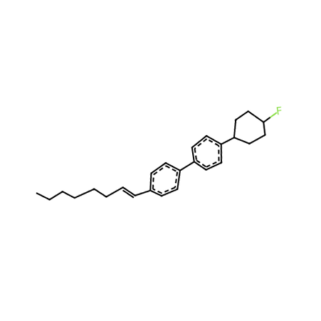 CCCCCCC=Cc1ccc(-c2ccc(C3CCC(F)CC3)cc2)cc1